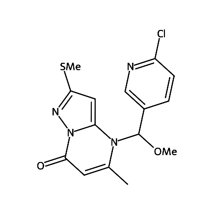 COC(c1ccc(Cl)nc1)n1c(C)cc(=O)n2nc(SC)cc12